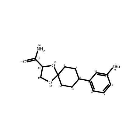 CC(C)(C)c1cccc([C]2CCC3(CC2)OCC(C(N)=O)O3)c1